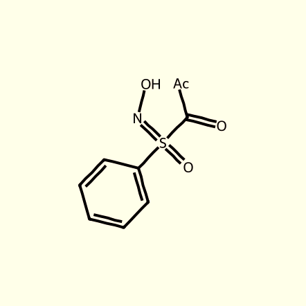 CC(=O)C(=O)S(=O)(=NO)c1ccccc1